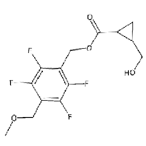 COCc1c(F)c(F)c(COC(=O)C2CC2CO)c(F)c1F